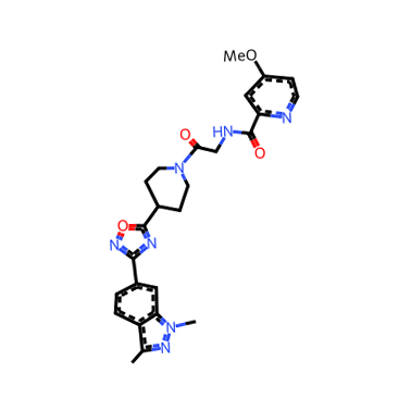 COc1ccnc(C(=O)NCC(=O)N2CCC(c3nc(-c4ccc5c(C)nn(C)c5c4)no3)CC2)c1